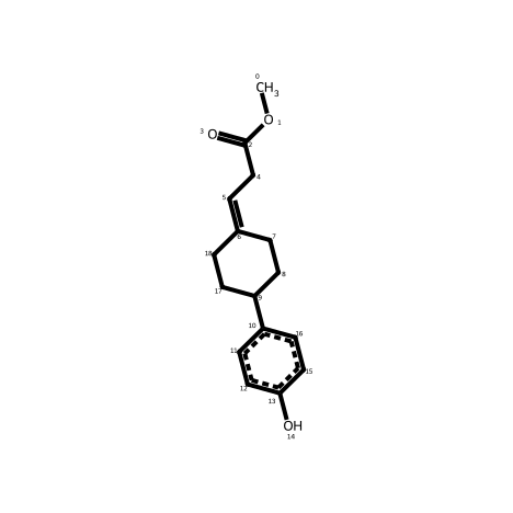 COC(=O)CC=C1CCC(c2ccc(O)cc2)CC1